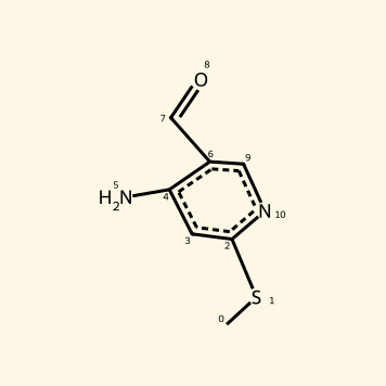 CSc1cc(N)c(C=O)cn1